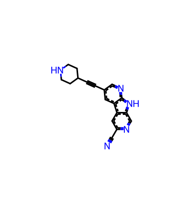 N#Cc1cc2c(cn1)[nH]c1ncc(C#CC3CCNCC3)cc12